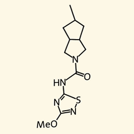 COc1nsc(NC(=O)N2CC3CC(C)CC3C2)n1